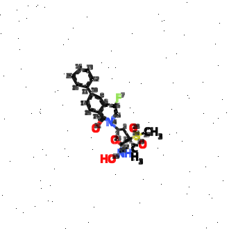 C[C@@](CCn1cc(F)c2cc(-c3ccccc3)ccc2c1=O)(C(=O)NO)S(C)(=O)=O